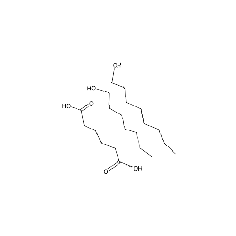 CCCCCCCCO.CCCCCCCO.O=C(O)CCCCC(=O)O